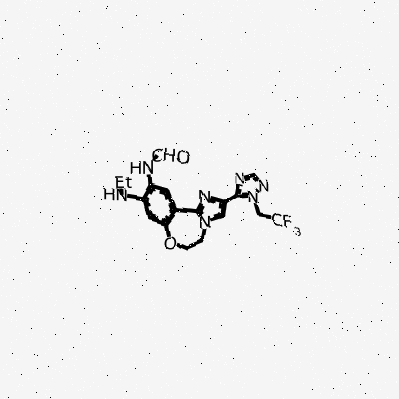 CCNc1cc2c(cc1NC=O)-c1nc(-c3ncnn3CC(F)(F)F)cn1CCO2